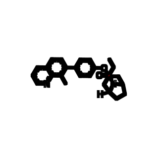 CCC(=O)N1C2CC[C@@H]1C[C@@H](Oc1ccc(-c3ccc4cccnc4c3C)cc1)C2